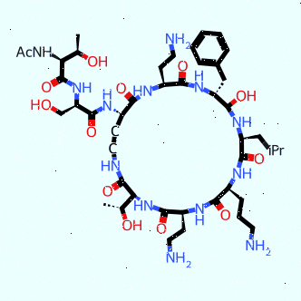 CC(=O)N[C@H](C(=O)N[C@H](CO)C(=O)N[C@H]1CCNC(=O)[C@H]([C@@H](C)O)NC(=O)[C@H](CCN)NC(=O)[C@H](CCCN)NC(=O)[C@H](CC(C)C)NC(O)[C@@H](Cc2ccccc2)NC(=O)[C@H](CCN)NC1=O)[C@@H](C)O